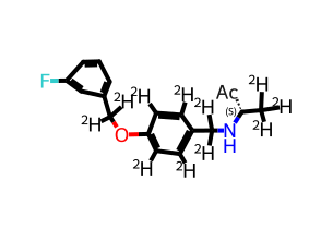 [2H]c1c([2H])c(C([2H])([2H])N[C@H](C(C)=O)C([2H])([2H])[2H])c([2H])c([2H])c1OC([2H])([2H])c1cccc(F)c1